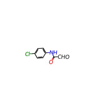 O=CC(=O)Nc1ccc(Cl)cc1